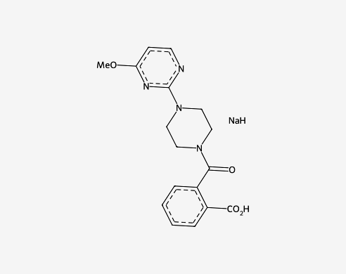 COc1ccnc(N2CCN(C(=O)c3ccccc3C(=O)O)CC2)n1.[NaH]